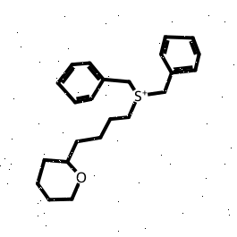 c1ccc(C[S+](CCCCC2CCCCO2)Cc2ccccc2)cc1